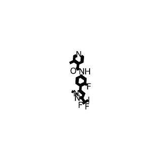 Cc1cnccc1C(=O)Nc1ccc(-c2cc(C(F)(F)I)nn2C)c(F)c1